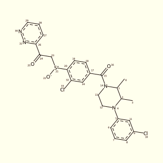 CC1C(C)N(c2cccc(Cl)c2)CCN1C(=O)c1ccc([S+]([O-])CC(=O)c2cccnn2)c(Cl)c1